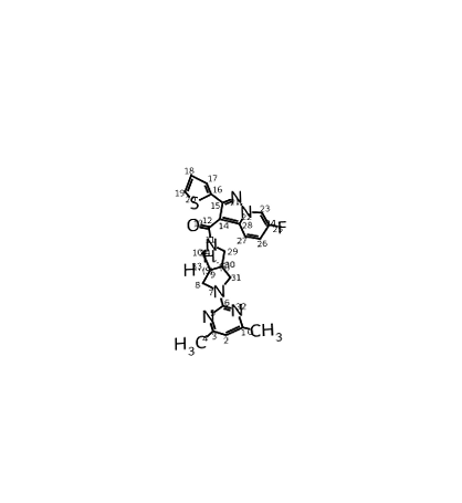 Cc1cc(C)nc(N2C[C@H]3CN(C(=O)c4c(-c5cccs5)nn5cc(F)ccc45)C[C@H]3C2)n1